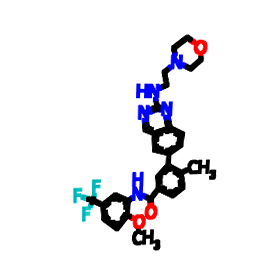 COc1ccc(C(F)(F)F)cc1NC(=O)c1ccc(C)c(-c2ccc3nc(NCCN4CCOCC4)ncc3c2)c1